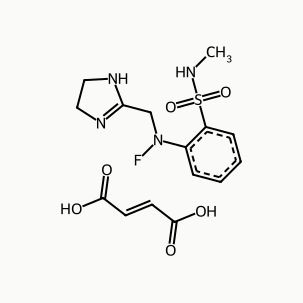 CNS(=O)(=O)c1ccccc1N(F)CC1=NCCN1.O=C(O)C=CC(=O)O